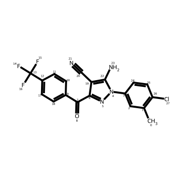 Cc1cc(-n2nc(C(=O)c3ccc(C(F)(F)F)cc3)c(C#N)c2N)ccc1Cl